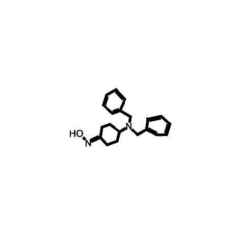 ON=C1CCC(N(Cc2ccccc2)Cc2ccccc2)CC1